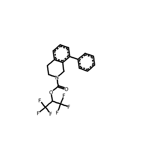 O=C(OC(C(F)(F)F)C(F)(F)F)N1CCc2cccc(-c3ccccc3)c2C1